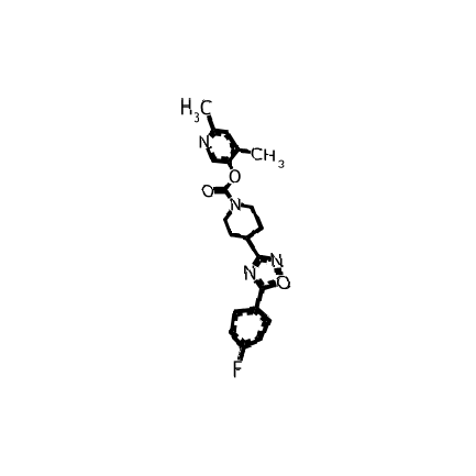 Cc1cc(C)c(OC(=O)N2CCC(c3noc(-c4ccc(F)cc4)n3)CC2)cn1